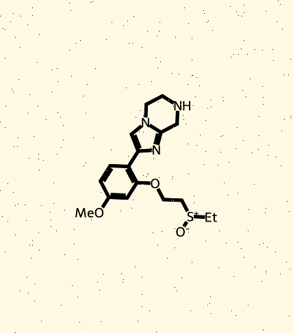 CC[S+]([O-])CCOc1cc(OC)ccc1-c1cn2c(n1)CNCC2